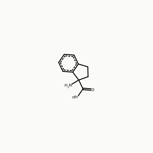 CCCC(=O)C1(N)CCc2ccccc21